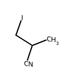 CC(C#N)CI